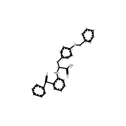 O=C(c1ccccc1)c1ccccc1NC(Cc1ccc(OCc2ccccc2)cc1)C(=O)O